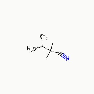 BC(B)C(C)(C)C#N